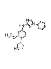 COc1cc(Nc2ncn(-c3ccccc3)n2)ccc1C1CCNC1